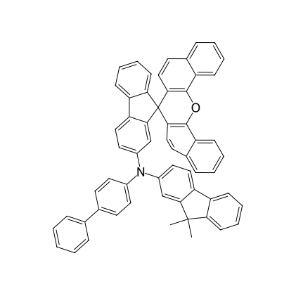 CC1(C)c2ccccc2-c2ccc(N(c3ccc(-c4ccccc4)cc3)c3ccc4c(c3)C3(c5ccccc5-4)c4ccc5ccccc5c4Oc4c3ccc3ccccc43)cc21